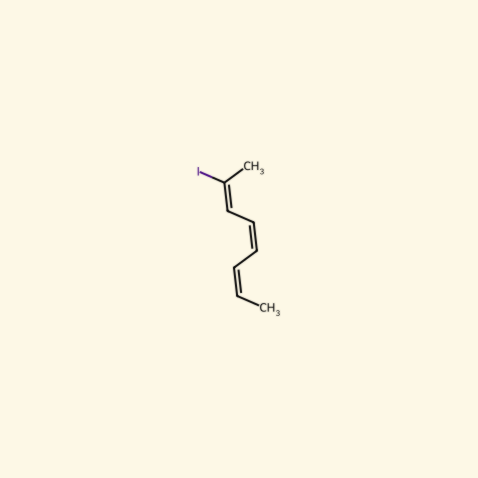 C\C=C/C=C\C=C(/C)I